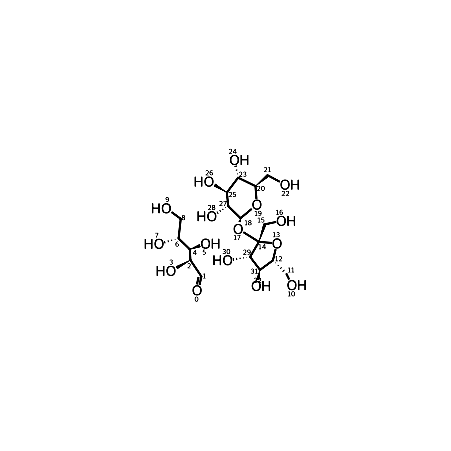 O=C[C@@H](O)[C@H](O)[C@H](O)CO.OC[C@H]1O[C@@](CO)(O[C@H]2O[C@H](CO)[C@@H](O)[C@H](O)[C@H]2O)[C@@H](O)[C@@H]1O